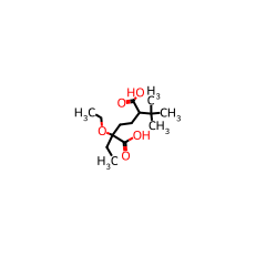 CCOC(CC)(CCC(C(=O)O)C(C)(C)C)C(=O)O